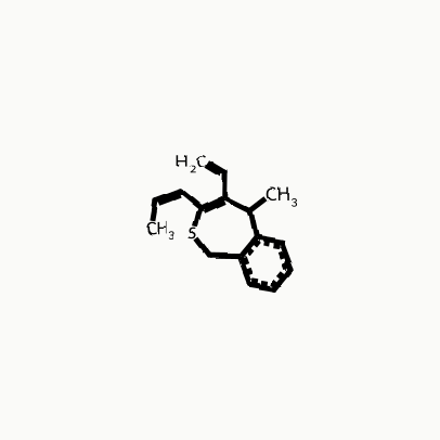 C=CC1=C(/C=C\C)SCc2ccccc2C1C